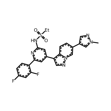 CCS(=O)(=O)Nc1cc(-c2cnn3cc(-c4cnn(C)c4)ccc23)cc(-c2ccc(F)cc2F)n1